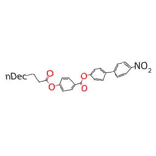 CCCCCCCCCCCCC(=O)Oc1ccc(C(=O)Oc2ccc(-c3ccc([N+](=O)[O-])cc3)cc2)cc1